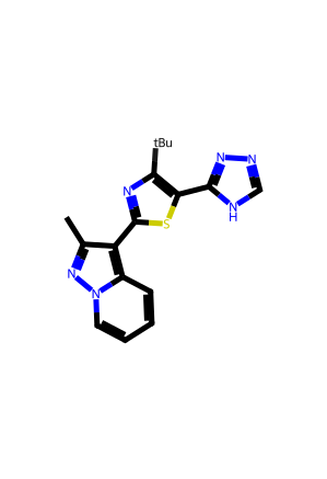 Cc1nn2ccccc2c1-c1nc(C(C)(C)C)c(-c2nnc[nH]2)s1